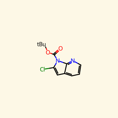 CC(C)(C)OC(=O)n1c(Cl)cc2cccnc21